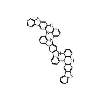 c1cc2c3c(c1)-n1c4cc5c(cc4c4cccc(c41)B3c1cc3c(cc1O2)sc1ccccc13)c1cccc2c1n5-c1cccc3c1B2c1cc2c(cc1O3)sc1ccccc12